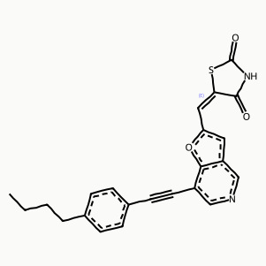 CCCCc1ccc(C#Cc2cncc3cc(/C=C4/SC(=O)NC4=O)oc23)cc1